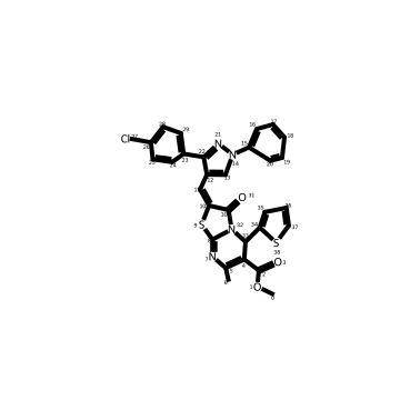 COC(=O)C1=C(C)N=c2s/c(=C/c3cn(-c4ccccc4)nc3-c3ccc(Cl)cc3)c(=O)n2C1c1cccs1